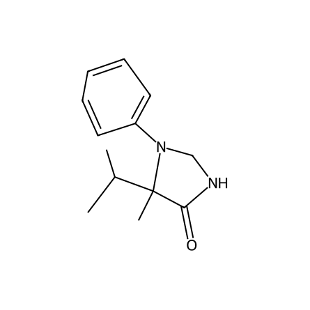 CC(C)C1(C)C(=O)NCN1c1ccccc1